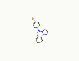 Brc1ccc(N2Cc3ccccc3N3CCCC23)cc1